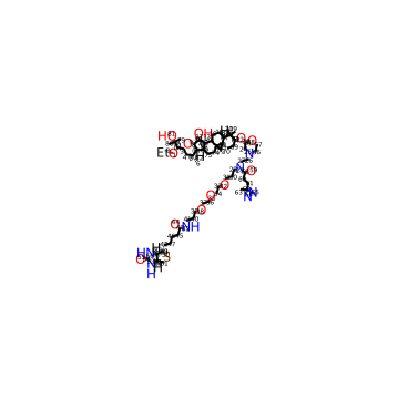 CCO[C@@H](C1C[C@@H](C)[C@H]2C(O1)[C@H](O)[C@@]1(C)C3CC[C@H]4C(C)(C)[C@@H](O[C@H]5CN(CCN(CCCOCCOCCOCCCNC(=O)CCCC[C@@H]6SC[C@@H]7NC(=O)N[C@@H]76)C(=O)CCC6(C)N=N6)CCO5)CC[C@@]45CC35CC[C@]21C)C(C)(C)O